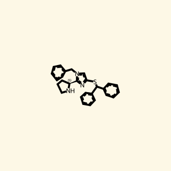 c1ccc(Cn2cc(SC(c3ccccc3)c3ccccc3)nc2[C@@H]2CCCN2)cc1